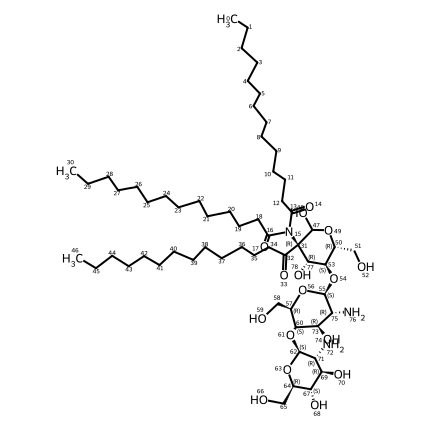 CCCCCCCCCCCCCC(=O)N(C(=O)CCCCCCCCCCCCC)[C@@]1(C(=O)CCCCCCCCCCCCC)C(O)O[C@H](CO)[C@@H](O[C@@H]2O[C@H](CO)[C@@H](O[C@@H]3O[C@H](CO)[C@@H](O)[C@H](O)[C@H]3N)[C@H](O)[C@H]2N)[C@@H]1O